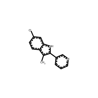 Cc1c(-c2cccnc2)[nH]c2cc(Cl)ccc12